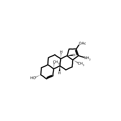 CC(=O)OC1=C(N)[C@@]2(C)CC[C@H]3[C@@H](CCC4C[C@@H](O)C=C[C@@]43C)[C@@H]2C1